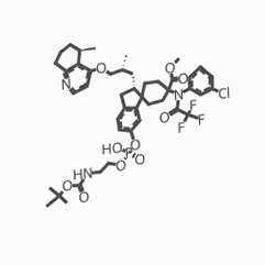 COC(=O)C1(N(C(=O)C(F)(F)F)c2cccc(Cl)c2)CCC2(CC1)c1cc(OP(=O)(O)OCCNC(=O)OC(C)(C)C)ccc1C[C@@H]2C[C@@H](C)COc1ccnc2c1[C@H](C)CCC2